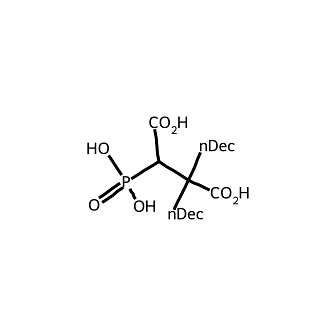 CCCCCCCCCCC(CCCCCCCCCC)(C(=O)O)C(C(=O)O)P(=O)(O)O